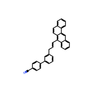 N#Cc1ccc(-c2cccc(C/C=C/c3c4ccccc4cc4c3ccc3ccccc34)c2)cc1